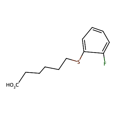 O=C(O)CCCCCSc1ccccc1F